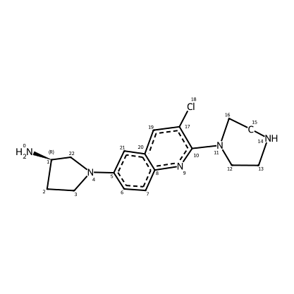 N[C@@H]1CCN(c2ccc3nc(N4CCNCC4)c(Cl)cc3c2)C1